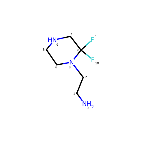 NCCN1CCNCC1(F)F